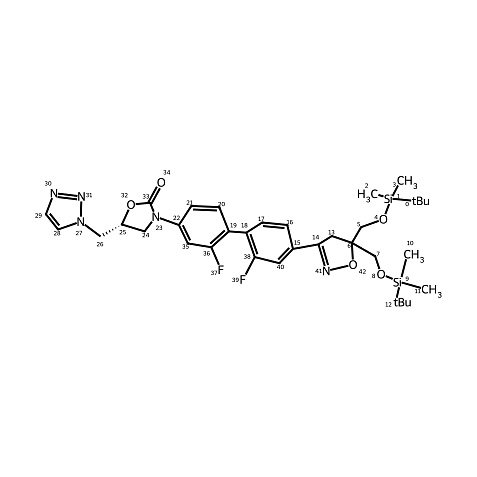 CC(C)(C)[Si](C)(C)OCC1(CO[Si](C)(C)C(C)(C)C)CC(c2ccc(-c3ccc(N4C[C@H](Cn5ccnn5)OC4=O)cc3F)c(F)c2)=NO1